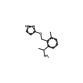 Cc1cccc(N(C)N)c1COc1cc[nH]n1